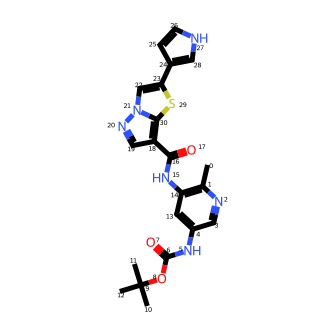 Cc1ncc(NC(=O)OC(C)(C)C)cc1NC(=O)c1cnn2cc(-c3cc[nH]c3)sc12